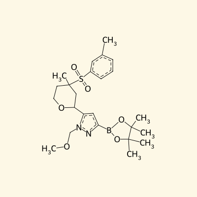 COCn1nc(B2OC(C)(C)C(C)(C)O2)cc1C1CC(C)(S(=O)(=O)c2cccc(C)c2)CCO1